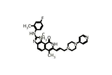 Cc1cc(F)ccc1Nc1nc2ccc3c(C)c(C=CCN4CCN(c5ccncc5)CC4)[nH]c(=O)c3c2n1C